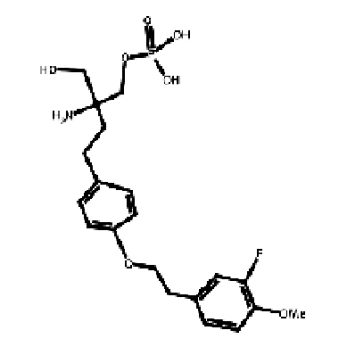 COc1ccc(CCOc2ccc(CCC(N)(CO)COP(=O)(O)O)cc2)cc1F